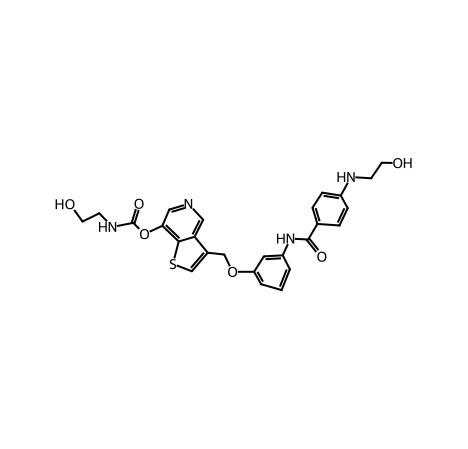 O=C(NCCO)Oc1cncc2c(COc3cccc(NC(=O)c4ccc(NCCO)cc4)c3)csc12